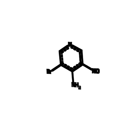 Nc1c(Br)cncc1N=O